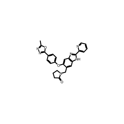 Cc1nnc(-c2ccc(Oc3cc4nc(-c5ccccn5)[nH]c4cc3CN3CCCC3=O)cc2)o1